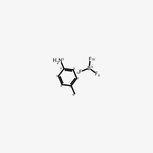 Cc1ccc(N)cc1.FB(F)F